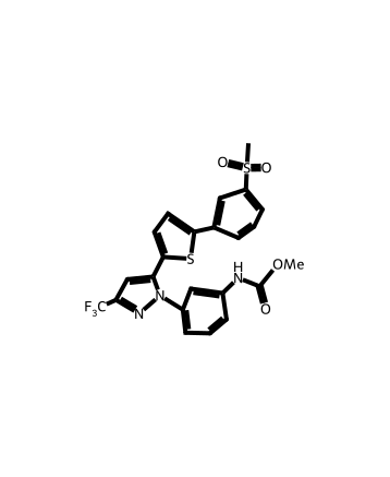 COC(=O)Nc1cccc(-n2nc(C(F)(F)F)cc2-c2ccc(-c3cccc(S(C)(=O)=O)c3)s2)c1